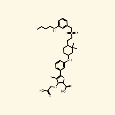 CCCCNc1cccc(CS(=O)(=O)CCC2CCC(Nc3cccc(-c4sc(C(=O)O)c(OCC(=O)O)c4Cl)c3)CC2(C)C)c1